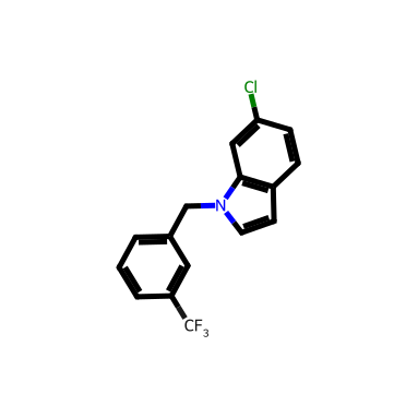 FC(F)(F)c1cccc(Cn2ccc3ccc(Cl)cc32)c1